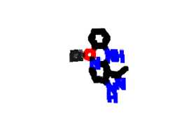 CCOc1ccccc1Nc1nccc2[nH]nc(C)c12